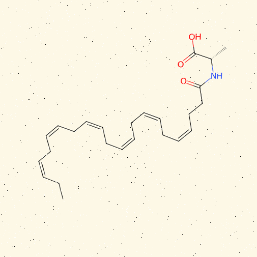 CC/C=C\C/C=C\C/C=C\C/C=C\C/C=C\C/C=C\CCC(=O)N[C@@H](C)C(=O)O